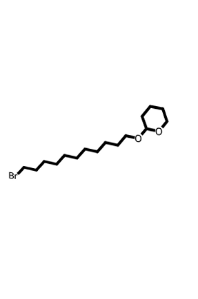 BrCCCCCCCCCCCOC1CCCCO1